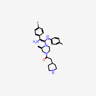 C=C1CN(C(=O)CC2CCNCC2)CCN1/C(Nc1ccc(C)cc1)=C(\N)c1ccc(F)cc1